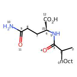 CCCCCCCCC(C)C(=O)N[C@@H](CCC(N)=O)C(=O)O